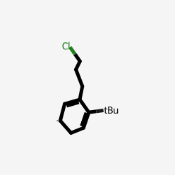 CC(C)(C)C1=CC[CH]C=C1CCCCl